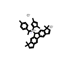 CC1=CC(C)[C](/[Zr+2](=[C](/C)c2ccc(C)cc2)[CH]2c3cc4c(cc3-c3cc5c(cc32)C(C)(C)C=C5)C=CC4(C)C)=C1.[Cl-].[Cl-]